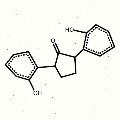 O=C1C(c2ccccc2O)CCC1c1ccccc1O